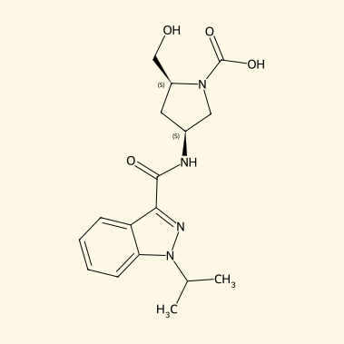 CC(C)n1nc(C(=O)N[C@H]2C[C@@H](CO)N(C(=O)O)C2)c2ccccc21